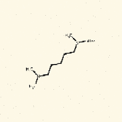 CCCCCCN(C)CCCCCN(C)C